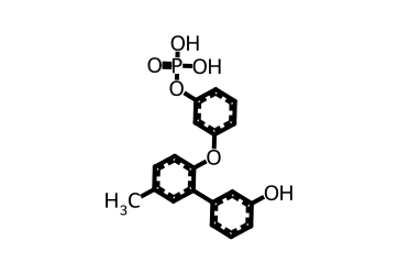 Cc1ccc(Oc2cccc(OP(=O)(O)O)c2)c(-c2cccc(O)c2)c1